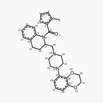 Cc1ccsc1C(=O)N1c2ccccc2CCC1CN1CCN(c2cccc3c2OCCO3)CC1